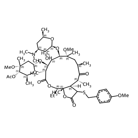 CC[C@H]1OC(=O)[C@H](C)[C@@H](O[C@H]2C[C@@](C)(OC)[C@@H](OC(C)=O)[C@H](C)O2)[C@H](C)[C@@H](O[C@@H]2O[C@H](C)C[C@H](N(C)C)[C@H]2O)[C@](C)(OC)C[C@@H](C)C(=O)[C@H](C)[C@H]2C(SCc3ccc(OC)cc3)C(=O)O[C@@]21C